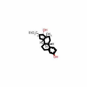 CCOC(=O)[C@H]1C[C@H]2[C@@H]3CCc4cc(O)ccc4[C@H]3CC[C@]2(C)[C@H]1O